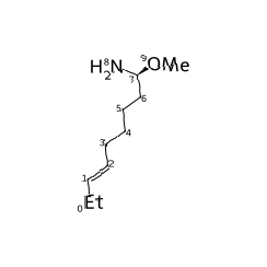 CC/C=C/CCCC[C@@H](N)OC